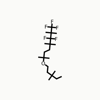 CCC(C)(C)CCOC(C)(C)CCC(C)(C)C(F)(F)C(C)(C)C(F)(F)F